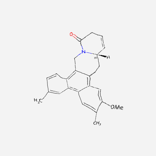 COc1cc2c3c(c4ccc(C)cc4c2cc1C)CN1C(=O)CC=C[C@@H]1C3